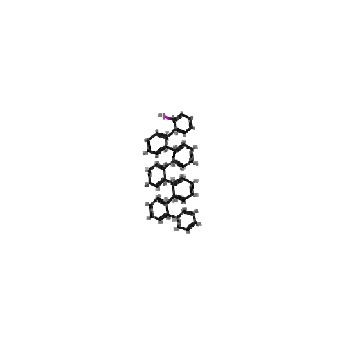 Ic1ccccc1-c1ccccc1-c1ccccc1-c1ccccc1-c1ccccc1-c1ccccc1-c1ccccc1